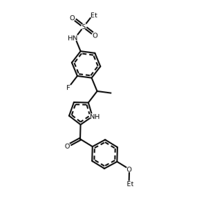 CCOc1ccc(C(=O)c2ccc(C(C)c3ccc(NS(=O)(=O)CC)cc3F)[nH]2)cc1